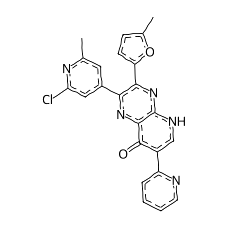 Cc1cc(-c2nc3c(=O)c(-c4ccccn4)c[nH]c3nc2-c2ccc(C)o2)cc(Cl)n1